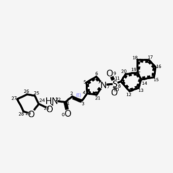 O=C(/C=C/c1ccn(S(=O)(=O)c2ccc3ccccc3c2)c1)NOC1CCCCO1